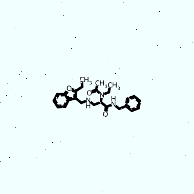 CCc1oc2ccccc2c1CNCC(C(=O)NCc1ccccc1)N(CC)C(C)=O